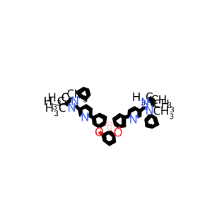 CC1(C)N=C(c2ccc(-c3ccc4c(c3)Oc3cccc5c3B4c3ccc(-c4ccc(C6=NC(C)(C)C(C)(C)N6c6ccccc6)cn4)cc3O5)nc2)N(c2ccccc2)C1(C)C